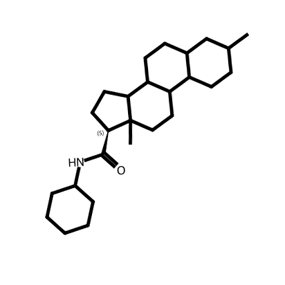 CC1CCC2C(CCC3C2CCC2(C)C3CC[C@@H]2C(=O)NC2CCCCC2)C1